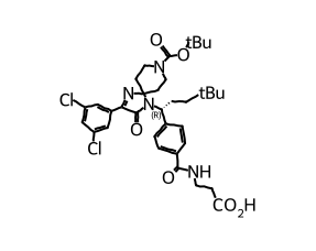 CC(C)(C)CC[C@H](c1ccc(C(=O)NCCC(=O)O)cc1)N1C(=O)C(c2cc(Cl)cc(Cl)c2)=NC12CCN(C(=O)OC(C)(C)C)CC2